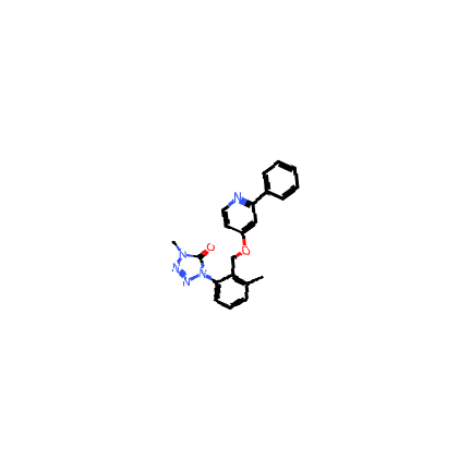 Cc1cccc(-n2nnn(C)c2=O)c1COc1ccnc(-c2ccccc2)c1